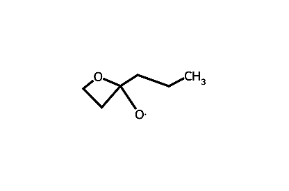 CCCC1([O])CCO1